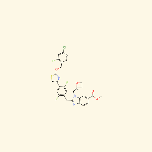 COC(=O)c1ccc2nc(Cc3cc(F)c(-c4csc(OCc5ccc(Cl)cc5F)n4)cc3F)n(C[C@@H]3CCO3)c2c1